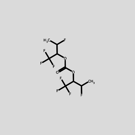 CC(F)C(OC(=O)OC(C(C)F)C(F)(F)F)C(F)(F)F